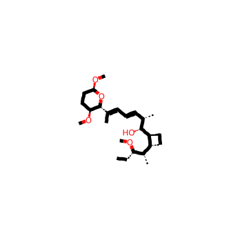 CC[C@H](OC)[C@@H](C)[C@H]1CC[C@@H]1[C@H](O)[C@@H](C)/C=C/C=C(\C)[C@H]1O[C@H](OC)CC[C@@H]1OC